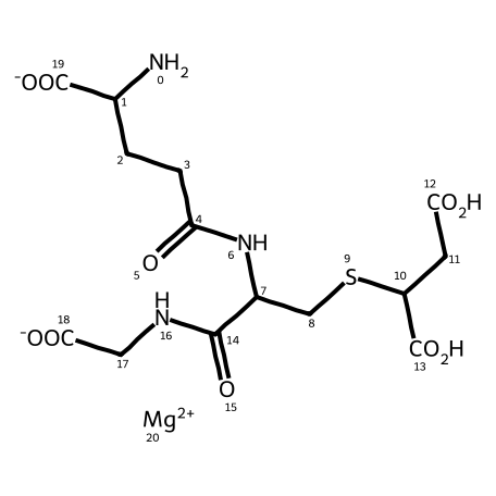 NC(CCC(=O)NC(CSC(CC(=O)O)C(=O)O)C(=O)NCC(=O)[O-])C(=O)[O-].[Mg+2]